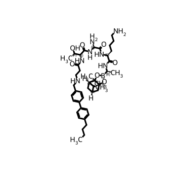 CCCCc1ccc(-c2ccc(CNCCC(=O)N[C@H](C(=O)N[C@@H](N)C(=O)N[C@@H](CCCCN)C(=O)N[C@@H](C)B3OC4C[C@@H]5C[C@@H](C5(C)C)[C@]4(C)O3)[C@@H](C)O)cc2)cc1